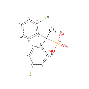 CC(c1ccc(F)cc1)(c1ccccc1F)P(=O)(O)O